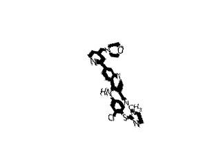 Cn1ccnc1Sc1ccc(Nc2c(C#N)cnc3cc(-c4cc(CN5CCOCC5)ccn4)ccc23)cc1Cl